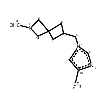 O=CN1CC2(CC(Cn3cnc(C(F)(F)F)c3)C2)C1